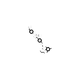 Cc1cc(C)c(N2/C(=N/N=C/c3ccc(C(=N)/N=C\Nc4ccc(OC(F)(F)F)cc4)cc3)SCCC2C)c(C)c1